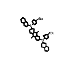 Cc1c2ccc(N(C3=CC4C=CC=CC4C=C3)c3ccc(C(C)(C)C)cc3)cc2c(C)c2cc(N(c3ccc(C(C)(C)C)cc3)c3ccc4ccccc4c3)ccc12